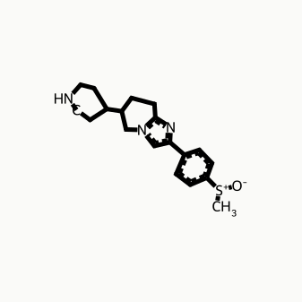 C[S+]([O-])c1ccc(-c2cn3c(n2)CCC(C2CCNCC2)C3)cc1